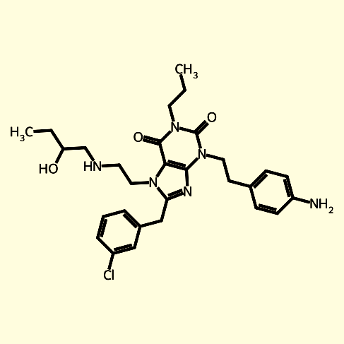 CCCn1c(=O)c2c(nc(Cc3cccc(Cl)c3)n2CCNCC(O)CC)n(CCc2ccc(N)cc2)c1=O